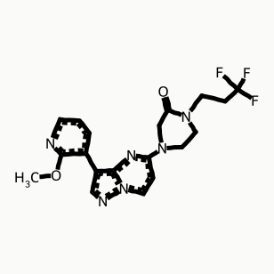 COc1ncccc1-c1cnn2ccc(N3CCN(CCC(F)(F)F)C(=O)C3)nc12